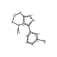 CC[C@H]1COCc2nnc(-c3cccc(Br)n3)n21